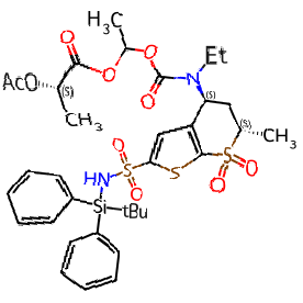 CCN(C(=O)OC(C)OC(=O)[C@H](C)OC(C)=O)[C@H]1C[C@H](C)S(=O)(=O)c2sc(S(=O)(=O)N[Si](c3ccccc3)(c3ccccc3)C(C)(C)C)cc21